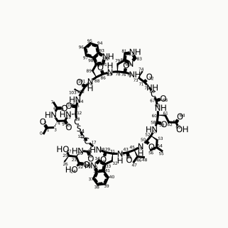 CC(=O)C[C@H](NC(C)=O)C(=O)N[C@H]1CSSC[C@@H](C(=O)N[C@H](C(=O)O)[C@@H](C)O)NC(=O)[C@H](Cc2c[nH]c3ccccc23)NC(=O)[C@H](C(C)C)NC(=O)[C@H](CC(C)C)NC(=O)[C@H](CCC(=O)O)NC(=O)CNC(=O)[C@H](C)NC(=O)[C@H](Cc2c[nH]cn2)NC(=O)[C@H](Cc2c[nH]c3ccccc23)NC(=O)[C@H](C)NC1=O